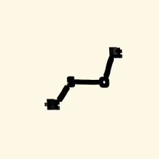 C[CH]SOCC